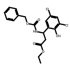 CCOC(=O)CC(NC(=O)OCc1ccccc1)c1cc(Cl)cc(Cl)c1O